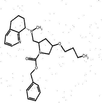 CCCCOC1CC(CN(C)[C@H]2CCCc3cccnc32)N(C(=O)OCc2ccccc2)C1